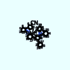 N#Cc1ccc2c(c1)c1ccccc1n2-c1cccc(-c2cc(-c3ccccc3)cc(-n3c4ccccc4c4ccccc43)c2C#N)c1